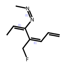 C=C\C=C(CF)/C(=C\C)/N=N\C